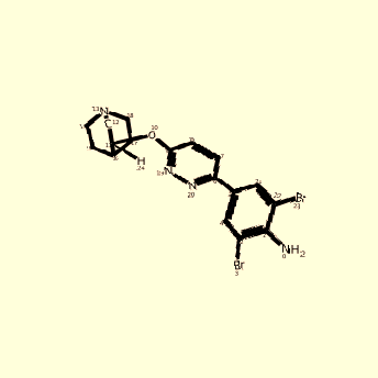 Nc1c(Br)cc(-c2ccc(O[C@H]3CN4CCC3CC4)nn2)cc1Br